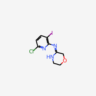 Clc1ccc(I)c(/N=C2/COCCN2)n1